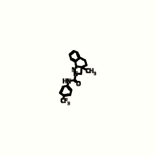 CC12CCc3ccccc3C1=NN(C(=O)Nc1ccc(C(F)(F)F)cc1)C2